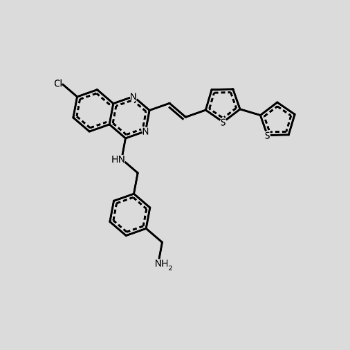 NCc1cccc(CNc2nc(C=Cc3ccc(-c4cccs4)s3)nc3cc(Cl)ccc23)c1